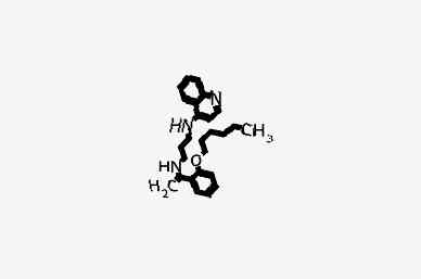 C=C(NCCCNc1ccnc2ccccc12)c1ccccc1OCCCCCC